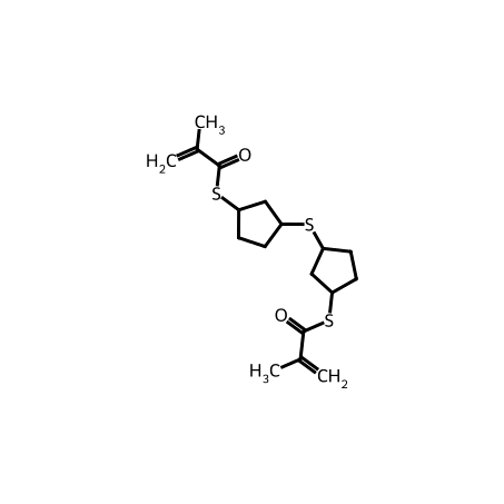 C=C(C)C(=O)SC1CCC(SC2CCC(SC(=O)C(=C)C)C2)C1